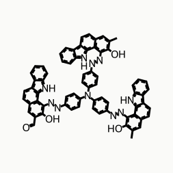 Cc1cc2ccc3c4ccccc4[nH]c3c2c(N=Nc2ccc(N(c3ccc(N=Nc4c(O)c(C)cc5ccc6c7ccccc7[nH]c6c45)cc3)c3ccc(N=Nc4c(O)c(C=O)cc5ccc6c7ccccc7[nH]c6c45)cc3)cc2)c1O